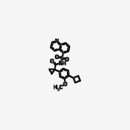 COc1cc(C2(C(=O)NS(=O)(=O)c3cccc4ncccc34)CC2)ccc1C1CCC1